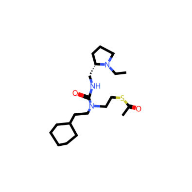 CCN1CCC[C@H]1CNC(=O)N(CCSC(C)=O)CCC1CCCCC1